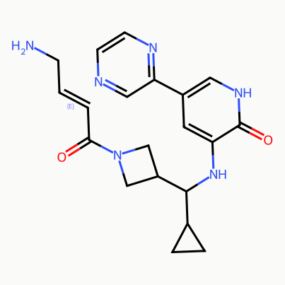 NC/C=C/C(=O)N1CC(C(Nc2cc(-c3cnccn3)c[nH]c2=O)C2CC2)C1